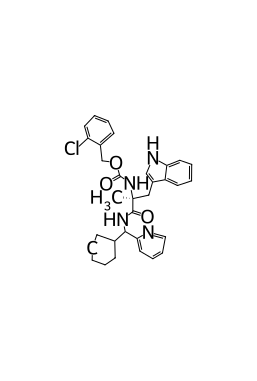 C[C@@](Cc1c[nH]c2ccccc12)(NC(=O)OCc1ccccc1Cl)C(=O)NC(c1ccccn1)C1CCCCC1